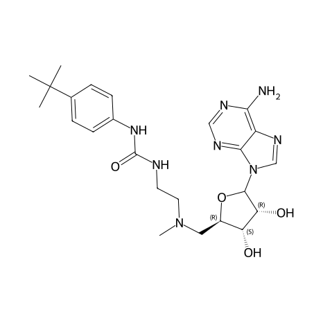 CN(CCNC(=O)Nc1ccc(C(C)(C)C)cc1)C[C@H]1OC(n2cnc3c(N)ncnc32)[C@H](O)[C@@H]1O